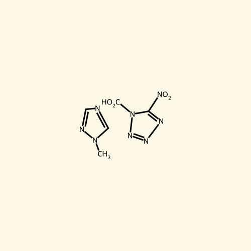 Cn1cncn1.O=C(O)n1nnnc1[N+](=O)[O-]